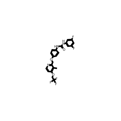 Cc1c(OCC(F)(F)F)ccnc1COc1ccc(NC(=O)Nc2cc(F)cc(F)c2)cc1